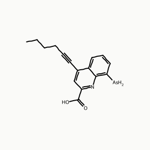 CCCCC#Cc1cc(C(=O)O)nc2c([AsH2])cccc12